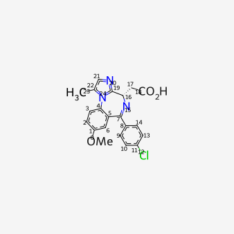 COc1ccc2c(c1)C(c1ccc(Cl)cc1)=N[C@@H](CC(=O)O)c1ncc(C)n1-2